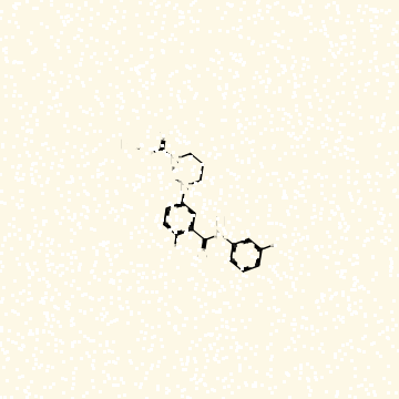 CC(C)(C)OC(=O)N1CCCN(c2ccc(Cl)c(C(=O)Nc3cccc(Cl)c3)c2)S1